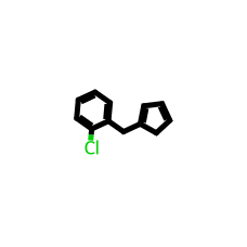 Clc1ccccc1CC1=CC=CC1